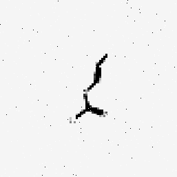 CC=COC(=O)CC